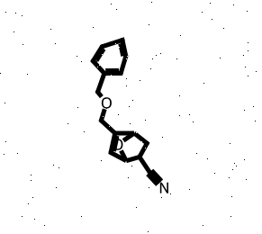 N#CC1CC2OC1C=C2COCc1ccccc1